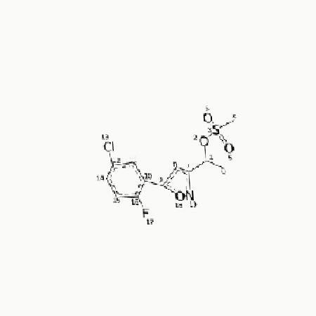 CC(OS(C)(=O)=O)c1cc(-c2cc(Cl)ccc2F)on1